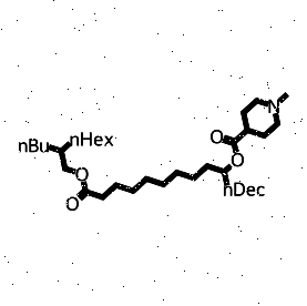 CCCCCCCCCCC(CCCCCCCCC(=O)OCC(CCCC)CCCCCC)OC(=O)C1CCN(C)CC1